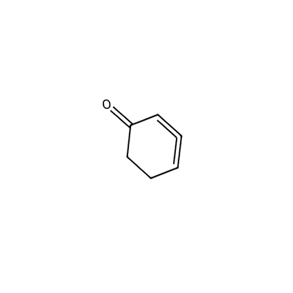 O=C1C=C=CCC1